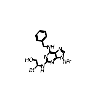 CCCn1cnc2c(NCc3ccccc3)nc(NC(CC)CO)nc21